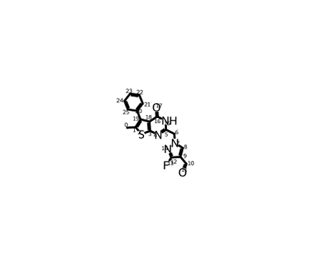 Cc1sc2nc(Cn3cc(C=O)c(F)n3)[nH]c(=O)c2c1-c1ccccc1